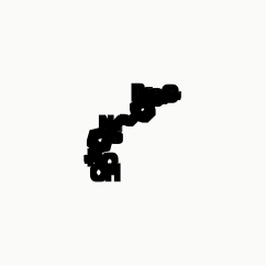 COCOc1ccc(C=Cc2nc3ccc(N(C)C(=O)O)cc3s2)cc1Br